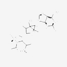 CCOC(=O)NC(C)CN([C@@H](C(=O)OCC)C(C)C)P(N)(=O)OC[C@H]1OC2(C)[C@@H](n3cnc4c(OC)nc(N)nc43)C2(O)C1O